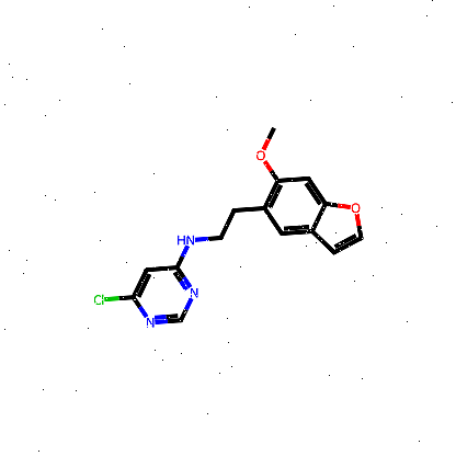 COc1cc2occc2cc1CCNc1cc(Cl)ncn1